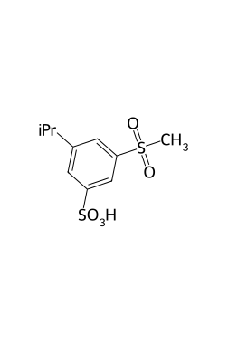 CC(C)c1cc(S(C)(=O)=O)cc(S(=O)(=O)O)c1